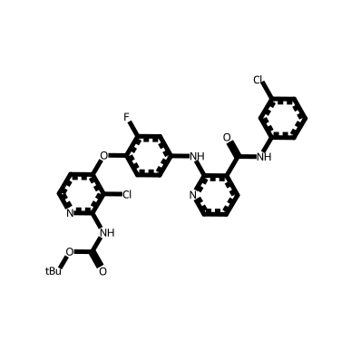 CC(C)(C)OC(=O)Nc1nccc(Oc2ccc(Nc3ncccc3C(=O)Nc3cccc(Cl)c3)cc2F)c1Cl